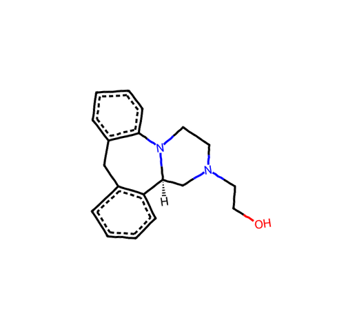 OCCN1CCN2c3ccccc3Cc3ccccc3[C@@H]2C1